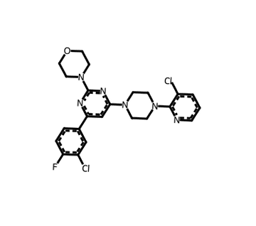 Fc1ccc(-c2cc(N3CCN(c4ncccc4Cl)CC3)nc(N3CCOCC3)n2)cc1Cl